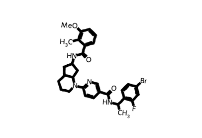 COc1cccc(C(=O)NC2CC3CCCN(c4ccc(C(=O)NC(C)c5ccc(Br)cc5F)cn4)C3C2)c1C